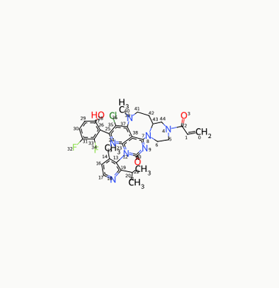 C=CC(=O)N1CCN2c3nc(=O)n(-c4c(C)ccnc4C(C)C)c4nc(-c5c(O)ccc(F)c5F)c(Cl)c(c34)N(C)CCC2C1